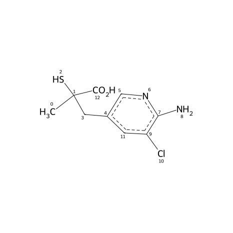 CC(S)(Cc1cnc(N)c(Cl)c1)C(=O)O